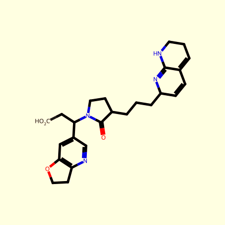 O=C(O)CC(c1cnc2c(c1)OCC2)N1CCC(CCCC2C=CC3=CCCNC3=N2)C1=O